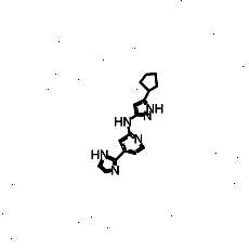 c1cc(-c2ncc[nH]2)cc(Nc2cc(C3CCCC3)[nH]n2)n1